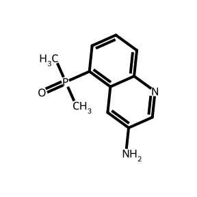 CP(C)(=O)c1cccc2ncc(N)cc12